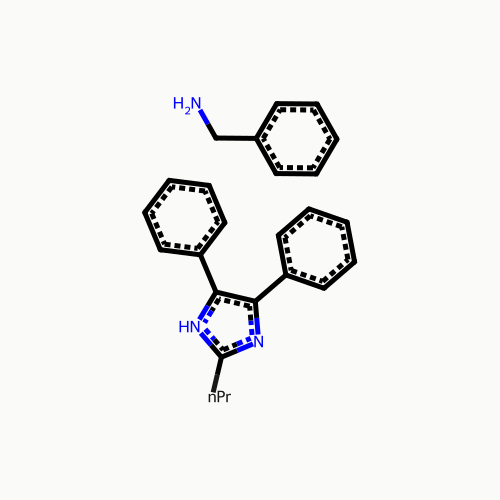 CCCc1nc(-c2ccccc2)c(-c2ccccc2)[nH]1.NCc1ccccc1